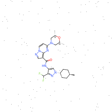 C[C@@H]1CN(c2ccn3ncc(C(=O)Nc4cn([C@H]5CC[C@H](C)CC5)nc4C(F)F)c3n2)C[C@H](C)O1